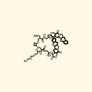 CC[C@@]1(OC(=O)CNC(=O)C(CSC2CCC2SCC(NC(=O)COCCOCC(C)=O)C(=O)NCC(=O)O[C@]2(CC)C(=O)OCc3c2cc2n(c3=O)Cc3cc4ccccc4nc3-2)NC)C(=O)OCc2c1cc1n(c2=O)Cc2cc3ccccc3nc2-1